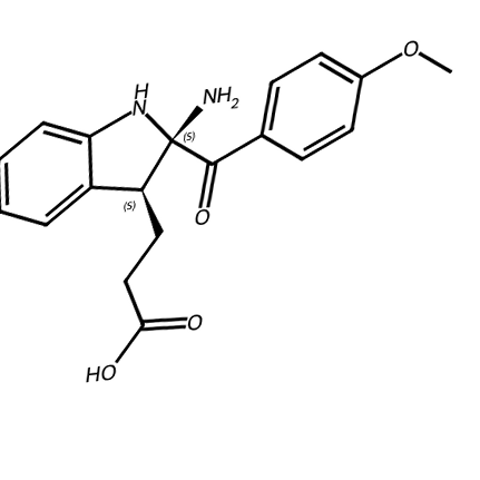 COc1ccc(C(=O)[C@@]2(N)Nc3ccccc3[C@@H]2CCC(=O)O)cc1